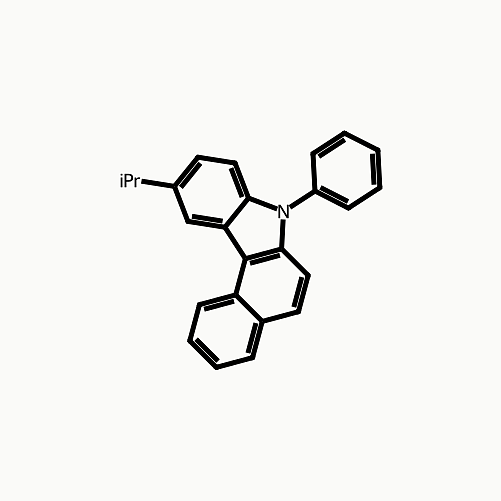 CC(C)c1ccc2c(c1)c1c3ccccc3ccc1n2-c1ccccc1